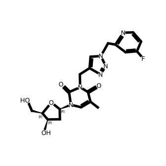 Cc1cn([C@H]2C[C@@H](O)[C@@H](CO)O2)c(=O)n(Cc2cn(Cc3cc(F)ccn3)nn2)c1=O